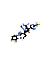 CCC(c1cn(-c2ccc(F)c(F)c2)nn1)c1c(Br)c(-c2cnc(C(F)(F)F)nc2)c2c(N)ncnn12